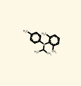 Cc1ccc(N(c2c(C)cccc2C)C(C)C)cc1